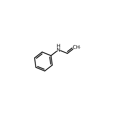 [CH]=CNc1ccccc1